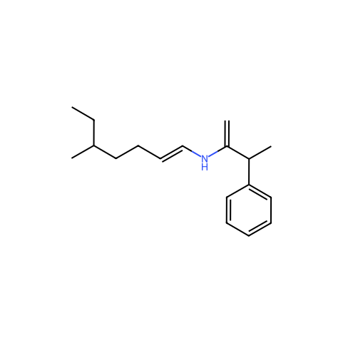 C=C(N/C=C/CCC(C)CC)C(C)c1ccccc1